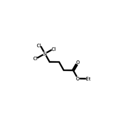 CCOC(=O)CCC[Si](Cl)(Cl)Cl